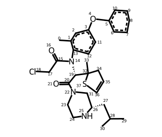 Cc1cc(Oc2ccccc2)ccc1N(C(=O)CCl)[C@@H](C(=O)N1CCN[C@@H](CC(C)C)C1)C1(C)CC=CS1